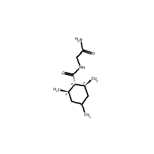 CC1C[C@@H](C)[C@H](C(=O)NCC(N)=O)[C@@H](C)C1